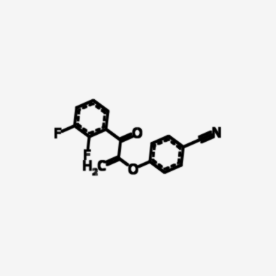 C=C(Oc1ccc(C#N)cc1)C(=O)c1cccc(F)c1F